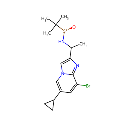 CC(N[S@+]([O-])C(C)(C)C)c1cn2cc(C3CC3)cc(Br)c2n1